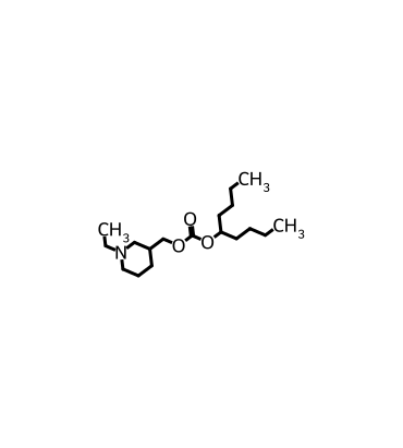 CCCCC(CCCC)OC(=O)OCC1CCCN(CC)C1